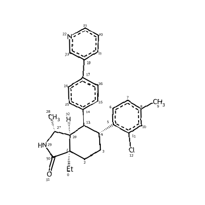 CC[C@@]12CC[C@@H](c3ccc(C)cc3Cl)C(c3ccc(-c4cccnc4)cc3)[C@@H]1[C@@H](C)NC2=O